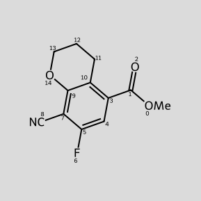 COC(=O)c1cc(F)c(C#N)c2c1CCCO2